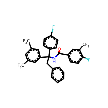 O=C(NC(Cc1ccccc1)(c1ccc(F)cc1)c1cc(C(F)(F)F)cc(C(F)(F)F)c1)c1ccc(F)c(C(F)(F)F)c1